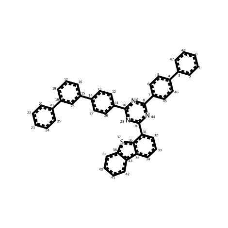 c1ccc(-c2ccc(-c3nc(-c4ccc(-c5cccc(-c6ccccc6)c5)cc4)nc(-c4cccc5c4sc4ccccc45)n3)cc2)cc1